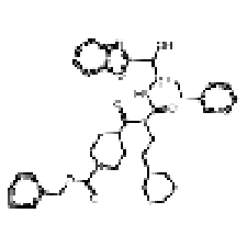 O=C(OCc1ccccc1)N1CCC(C(=O)N(CCC2CCCCC2)C(=O)N[C@@H](CCc2ccccc2)C(O)c2nc3ccccc3o2)CC1